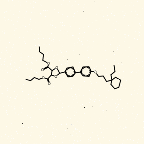 CCCCOC(=O)C1OC(c2ccc(-c3ccc(OCCCC4(CCC)CCCCC4)cc3)cc2)OC1C(=O)OCCCC